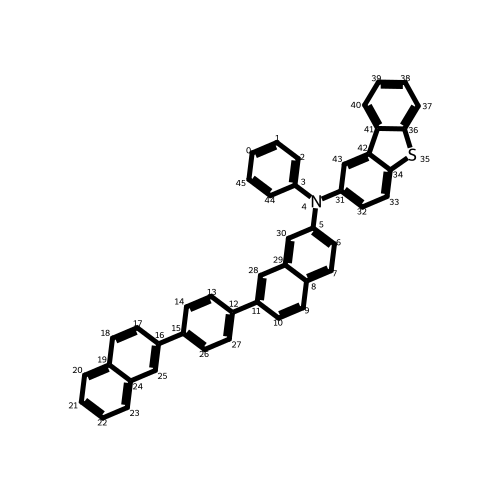 c1ccc(N(c2ccc3ccc(-c4ccc(-c5ccc6ccccc6c5)cc4)cc3c2)c2ccc3sc4ccccc4c3c2)cc1